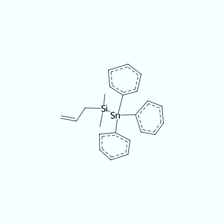 C=CC[Si](C)(C)[Sn]([c]1ccccc1)([c]1ccccc1)[c]1ccccc1